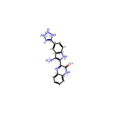 Nc1c(-c2nc3ccccc3[nH]c2=O)[nH]c2ccc(C3=NNNN3)cc12